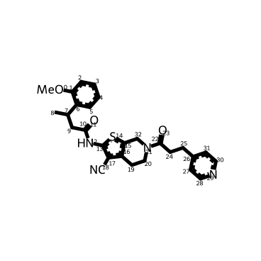 COc1ccccc1C(C)CC(=O)Nc1sc2c(c1C#N)CCN(C(=O)CCc1ccncc1)C2